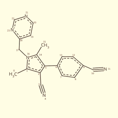 Cc1c(C#N)c(-c2ccc(C#N)cc2)c(C)n1Cc1ccncn1